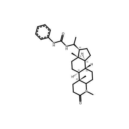 CC(NC(=O)Nc1ccccc1)[C@H]1CC[C@H]2[C@@H]3CCC4N(C)C(=O)CC[C@]4(C)[C@H]3CC[C@]12C